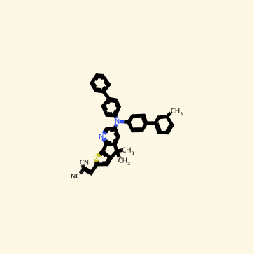 CC1C=CC=C(C2=CCC(N(c3ccc(-c4ccccc4)cc3)c3cnc4c(c3)C(C)(C)c3cc(C=C(C#N)C#N)sc3-4)C=C2)C1